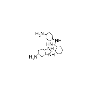 NC1CCC2NC(C3CCCCC3C3NC4CCC(N)CC4N3)NC2C1